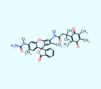 CCN(C(N)=O)c1cc2c(cc1C)C1(OC(=O)c3ccccc31)c1cc(C)c(N(CC)C(=O)CC(C)(C)C3=C(C)C(=O)C(C)=C(C)C3=O)cc1O2